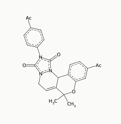 CC(=O)c1ccc(-n2c(=O)n3n(c2=O)C2C(=CC3)C(C)(C)Oc3cc(C(C)=O)ccc32)cc1